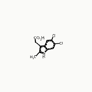 Cc1[nH]c2cc(Cl)c(Cl)cc2c1CC(=O)O